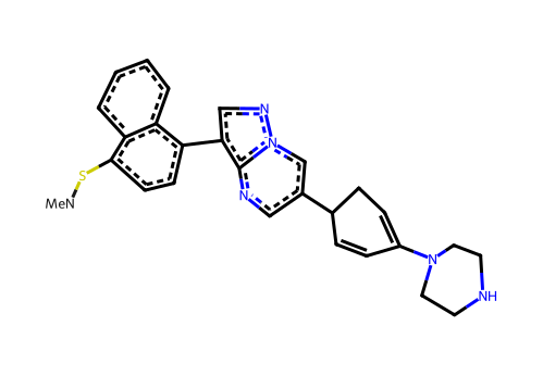 CNSc1ccc(-c2cnn3cc(C4C=CC(N5CCNCC5)=CC4)cnc23)c2ccccc12